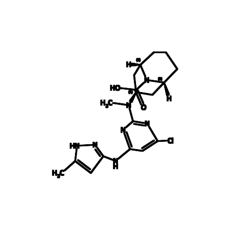 Cc1cc(Nc2cc(Cl)nc(N(C)[C@@H]3C[C@H]4CCC[C@@H](C3)N4C(=O)O)n2)n[nH]1